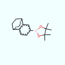 CC1(C)OB(c2ccc3c(c2)C2CCCC3CC2)OC1(C)C